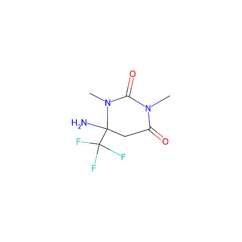 CN1C(=O)CC(N)(C(F)(F)F)N(C)C1=O